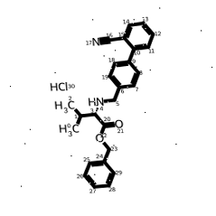 CC(C)[C@H](NCc1ccc(-c2ccccc2C#N)cc1)C(=O)OCc1ccccc1.Cl